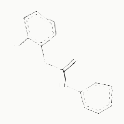 S=C(Nc1ccccc1)Nc1ccccc1Cl